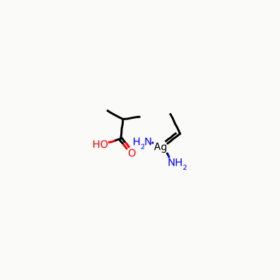 CC(C)C(=O)O.C[CH]=[Ag]([NH2])[NH2]